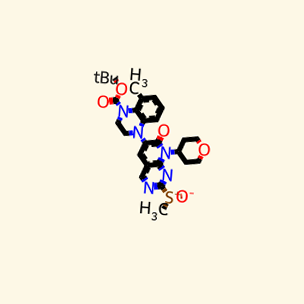 Cc1cccc2c1N(C(=O)OC(C)(C)C)CCN2c1cc2cnc([S+](C)[O-])nc2n(C2CCOCC2)c1=O